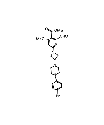 COC(=O)c1c(C=O)cc(N2CC(N3CCN(c4ccc(Br)cc4)CC3)C2)cc1OC